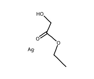 CCOC(=O)CO.[Ag]